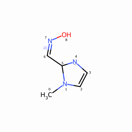 CN1C=C[N]C1/C=N\O